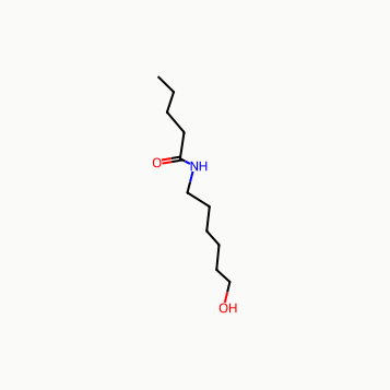 CCCCC(=O)NCCCCCCO